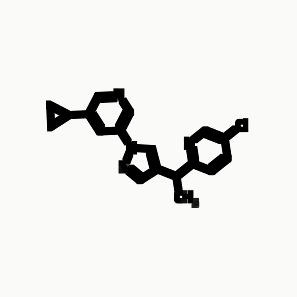 CC(c1cnn(-c2cncc(C3CC3)c2)c1)c1ccc(Cl)cn1